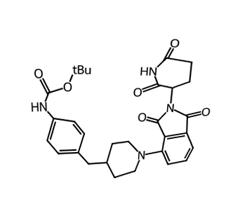 CC(C)(C)OC(=O)Nc1ccc(CC2CCN(c3cccc4c3C(=O)N(C3CCC(=O)NC3=O)C4=O)CC2)cc1